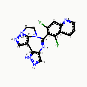 Fc1cc2ncccc2c(F)c1C1=Nc2cn[nH]c2-c2cnn3c2N1CC3